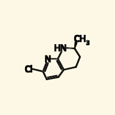 C[C@H]1CCc2ccc(Cl)nc2N1